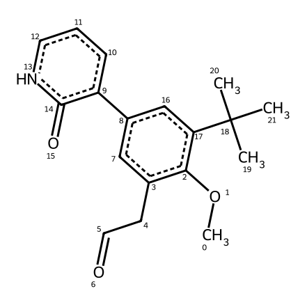 COc1c(CC=O)cc(-c2ccc[nH]c2=O)cc1C(C)(C)C